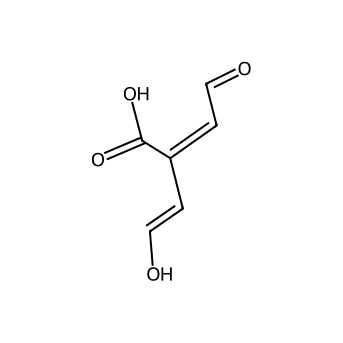 O=C/C=C(/C=C/O)C(=O)O